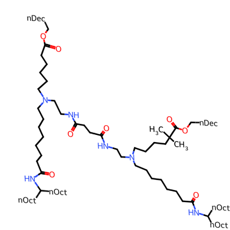 CCCCCCCCCCCOC(=O)CCCCCN(CCCCCCCC(=O)NC(CCCCCCCC)CCCCCCCC)CCNC(=O)CCC(=O)NCCN(CCCCCCCC(=O)NC(CCCCCCCC)CCCCCCCC)CCCCC(C)(C)C(=O)OCCCCCCCCCCC